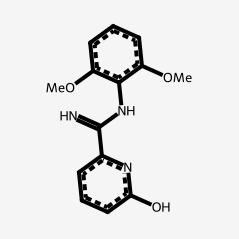 COc1cccc(OC)c1NC(=N)c1cccc(O)n1